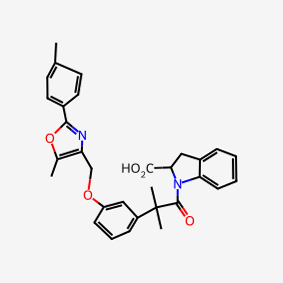 Cc1ccc(-c2nc(COc3cccc(C(C)(C)C(=O)N4c5ccccc5CC4C(=O)O)c3)c(C)o2)cc1